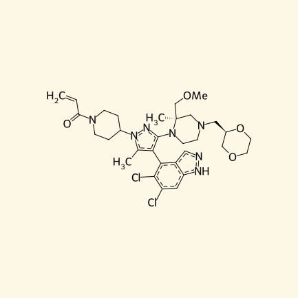 C=CC(=O)N1CCC(n2nc(N3CCN(C[C@@H]4COCCO4)C[C@]3(C)COC)c(-c3c(Cl)c(Cl)cc4[nH]ncc34)c2C)CC1